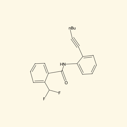 CCCCC#Cc1ccccc1NC(=O)c1ccccc1C(F)F